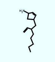 C=CC(CCCCC)CC1C=CC(N)C1